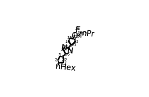 CCCCCCc1ccc(-c2cnc(-c3ccc(OCC(F)CCC)cc3)nc2)cc1